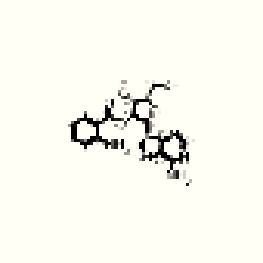 Nc1ccccc1C(=O)O[C@@H]1[C@H](O)[C@@H](CO)O[C@H]1n1cnc2c(N)ncnc21